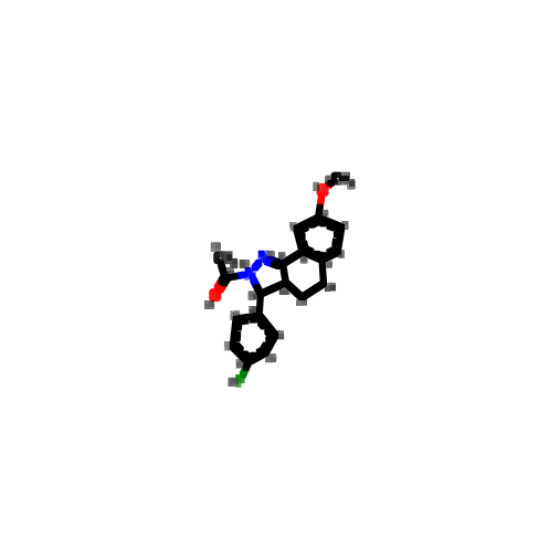 COc1ccc2c(c1)C1=NN(C(C)=O)C(c3ccc(F)cc3)C1CC2